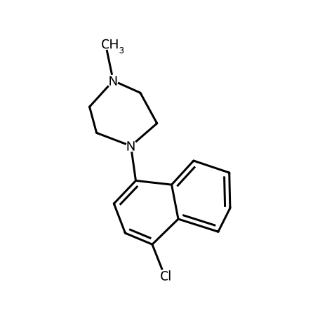 CN1CCN(c2ccc(Cl)c3ccccc23)CC1